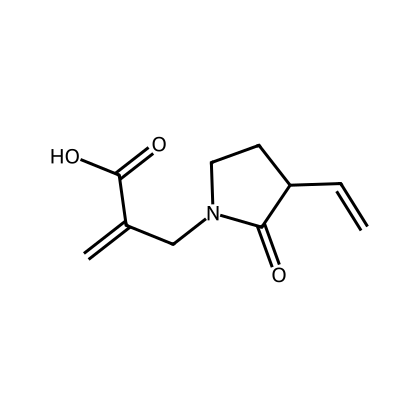 C=CC1CCN(CC(=C)C(=O)O)C1=O